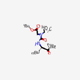 CCCC[C@H](NC(=O)N(CC(=O)O)CC(=O)OC(C)(C)C)C(=O)OC